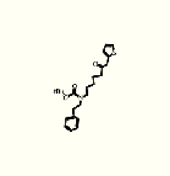 CC(C)(C)OC(=O)N(CCCCCC(=O)Cc1cccs1)CCc1ccccc1